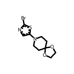 Brc1ncc(N2CCC3(CC2)OCCO3)s1